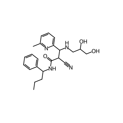 CCCC(NC(=O)C(C#N)C(NCC(O)CO)c1cccc(C)n1)c1ccccc1